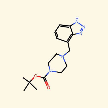 CC(C)(C)OC(=O)N1CCN(Cc2cccc3[nH]nnc23)CC1